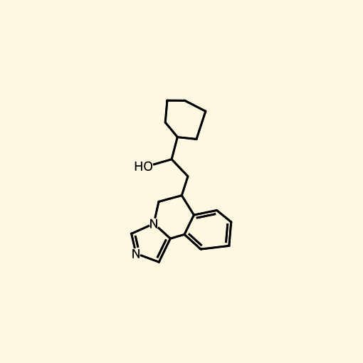 OC(CC1Cn2cncc2-c2ccccc21)C1CCCCC1